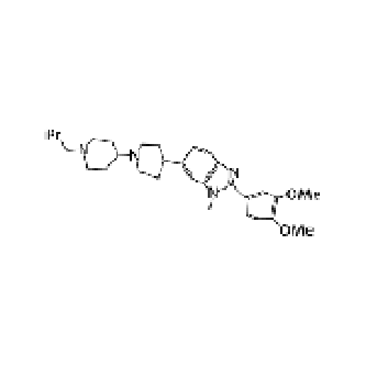 COc1ccc(-c2nc3ccc(C4CCN(C5CCN(CC(C)C)CC5)CC4)cc3n2C)cc1OC